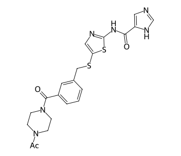 CC(=O)N1CCN(C(=O)c2cccc(CSc3cnc(NC(=O)c4cnc[nH]4)s3)c2)CC1